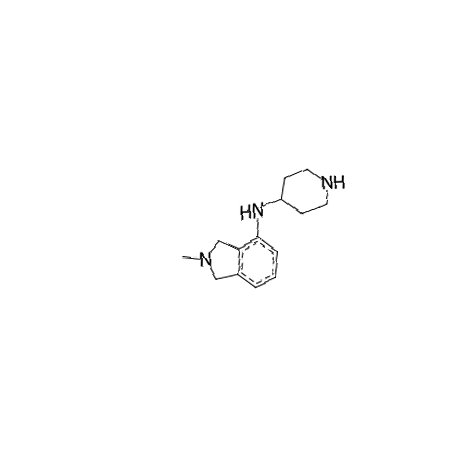 CN1Cc2cccc(NC3CCNCC3)c2C1